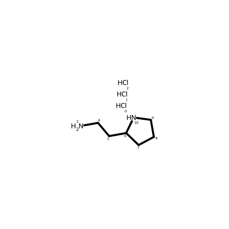 Cl.Cl.Cl.NCCC1CCCN1